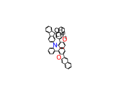 CC1(C)c2ccccc2-c2ccc(N(c3ccccc3-c3cccc4c3oc3cc5ccccc5cc34)c3cccc4oc5c6ccccc6ccc5c34)cc21